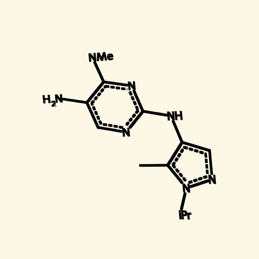 CNc1nc(Nc2cnn(C(C)C)c2C)ncc1N